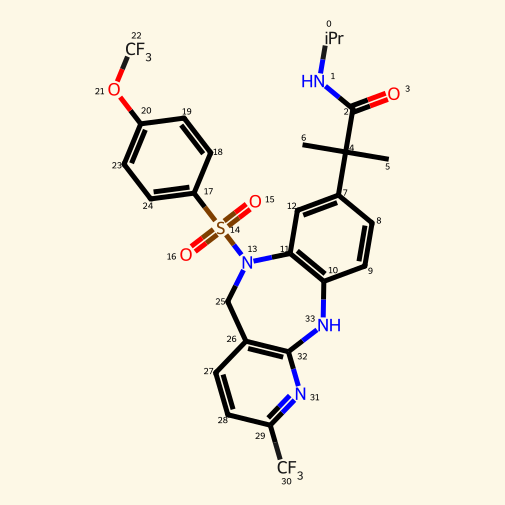 CC(C)NC(=O)C(C)(C)c1ccc2c(c1)N(S(=O)(=O)c1ccc(OC(F)(F)F)cc1)Cc1ccc(C(F)(F)F)nc1N2